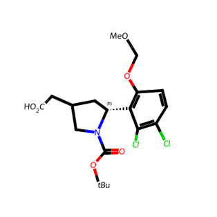 COCOc1ccc(Cl)c(Cl)c1[C@H]1CC(CC(=O)O)CN1C(=O)OC(C)(C)C